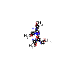 COc1cccc(Nc2ccc(OCCOc3ccc(Nc4cccc(OC)c4)cc3Nc3cccc(OC)c3)c(Nc3cccc(OC)c3)c2)c1